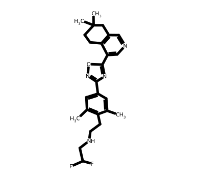 Cc1cc(-c2noc(-c3cncc4c3CCC(C)(C)C4)n2)cc(C)c1CCNCC(F)F